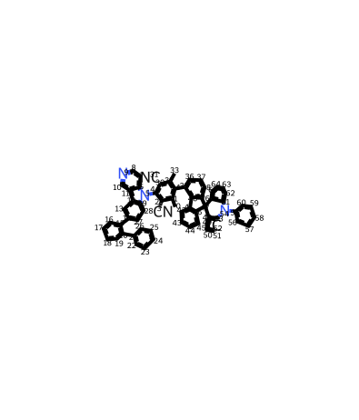 Cc1c(C#N)c(-n2c3ccncc3c3cc(-c4ccccc4-c4ccccc4)ccc32)c(C#N)c(C)c1-c1cccc2c1-c1ccccc1C21c2ccccc2N(c2ccccc2)c2ccccc21